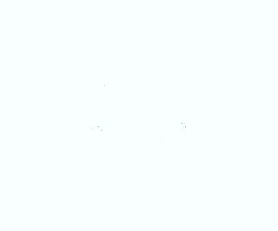 CN(C)C(=O)Cc1ccc([N+](=O)[O-])c(C2CC2)c1